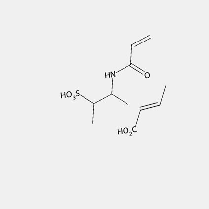 C=CC(=O)NC(C)C(C)S(=O)(=O)O.CC=CC(=O)O